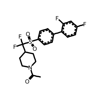 CC(=O)N1CCC(C(F)(F)S(=O)(=O)c2ccc(-c3ccc(F)cc3F)cc2)CC1